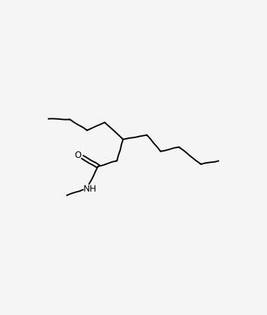 CCCCCC(CCCC)CC(=O)NC